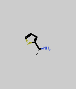 C[C@@H](N)c1cccs1